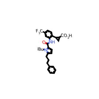 CCC(C)n1c(CCCc2ccccc2)ccc1C(=O)Nc1cc(C(F)(F)F)ccc1C1CC1C(=O)O